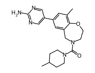 Cc1cc(-c2cnc(N)nc2)cc2c1OCCN(C(=O)N1CCC(C)CC1)C2